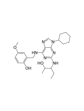 CCC(Nc1nc(NCc2cc(OC)ccc2O)c2ncn(C3CCCCC3)c2n1)C(C)O